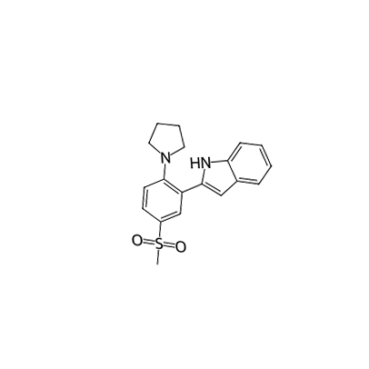 CS(=O)(=O)c1ccc(N2CCCC2)c(-c2cc3ccccc3[nH]2)c1